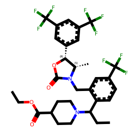 CCOC(=O)C1CCN(C(CC)c2ccc(C(F)(F)F)cc2CN2C(=O)O[C@H](c3cc(C(F)(F)F)cc(C(F)(F)F)c3)[C@@H]2C)CC1